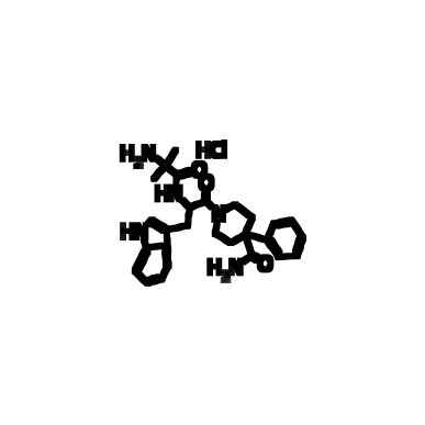 CC(C)(N)C(=O)NC(Cc1c[nH]c2ccccc12)C(=O)N1CCC(C(N)=O)(c2ccccc2)CC1.Cl